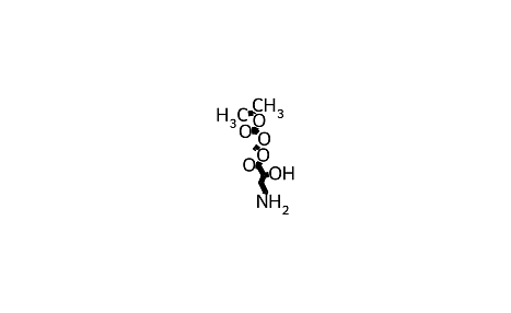 CC(C)OC(=O)OCOC(=O)C(O)CCN